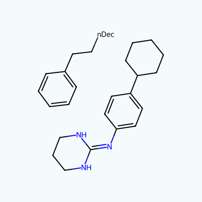 CCCCCCCCCCCCc1ccccc1.c1cc(C2CCCCC2)ccc1N=C1NCCCN1